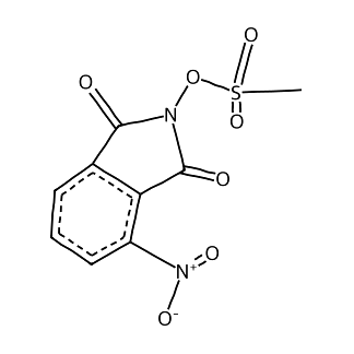 CS(=O)(=O)ON1C(=O)c2cccc([N+](=O)[O-])c2C1=O